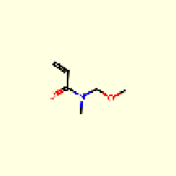 C=CC(=O)N(C)COC